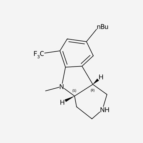 CCCCc1cc2c(c(C(F)(F)F)c1)N(C)[C@H]1CCNC[C@@H]21